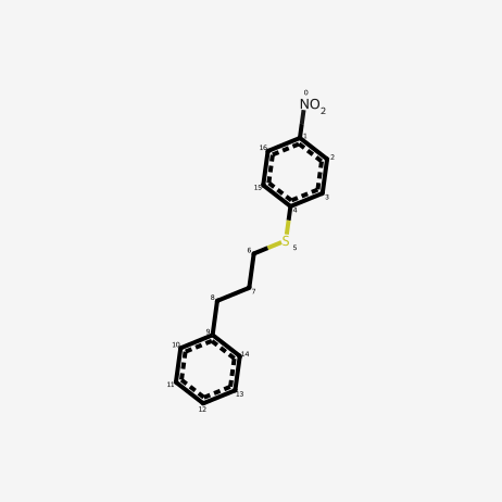 O=[N+]([O-])c1ccc(SCCCc2ccccc2)cc1